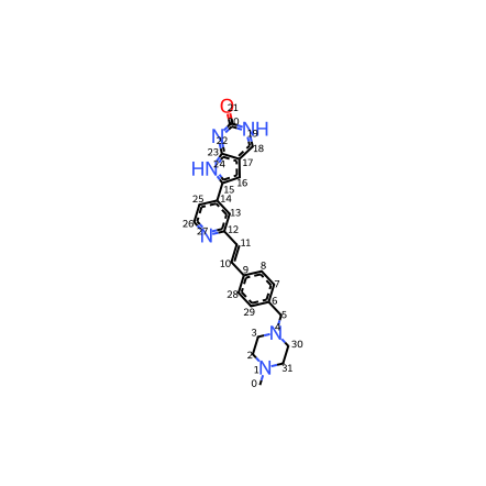 CN1CCN(Cc2ccc(/C=C/c3cc(-c4cc5c[nH]c(=O)nc5[nH]4)ccn3)cc2)CC1